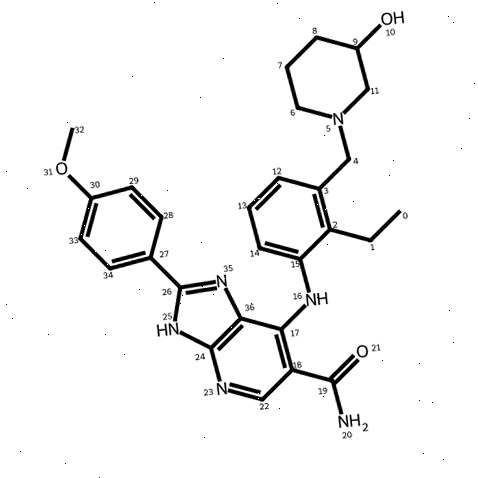 CCc1c(CN2CCCC(O)C2)cccc1Nc1c(C(N)=O)cnc2[nH]c(-c3ccc(OC)cc3)nc12